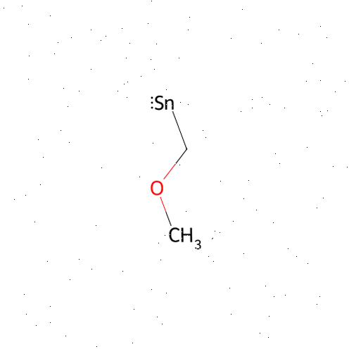 CO[CH2][Sn]